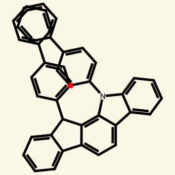 c1ccc(-c2ccc(C3c4ccccc4-c4ccc5c6ccccc6n(-c6ccc(-c7ccccc7)cc6)c5c43)cc2)cc1